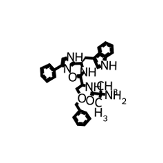 CC(C)(N)C(=O)NC(COCc1ccccc1)C(=O)N[C@H](Cc1c[nH]c2ccccc12)c1nc(-c2ccccc2)c[nH]1